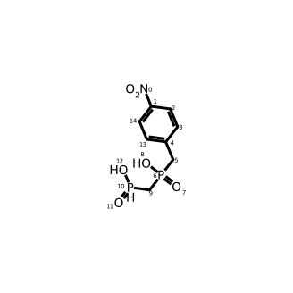 O=[N+]([O-])c1ccc(CP(=O)(O)C[PH](=O)O)cc1